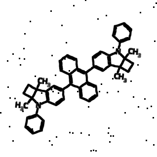 CC12CCC1(C)N(c1ccccc1)c1ccc(-c3c4ccccc4c(-c4ccc5c(c4)C4(C)CCC4(C)N5c4ccccc4)c4ccccc34)cc12